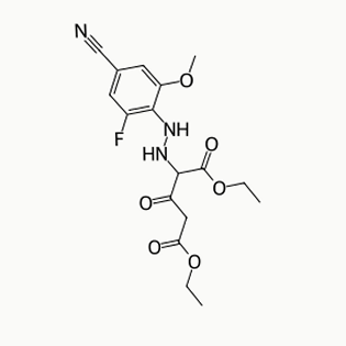 CCOC(=O)CC(=O)C(NNc1c(F)cc(C#N)cc1OC)C(=O)OCC